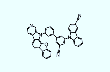 N#Cc1cc(-c2cccc(-n3c4cnccc4c4ccc5c6ccccc6oc5c43)c2)cc(-n2c3ccccc3c3cc(C#N)ccc32)c1